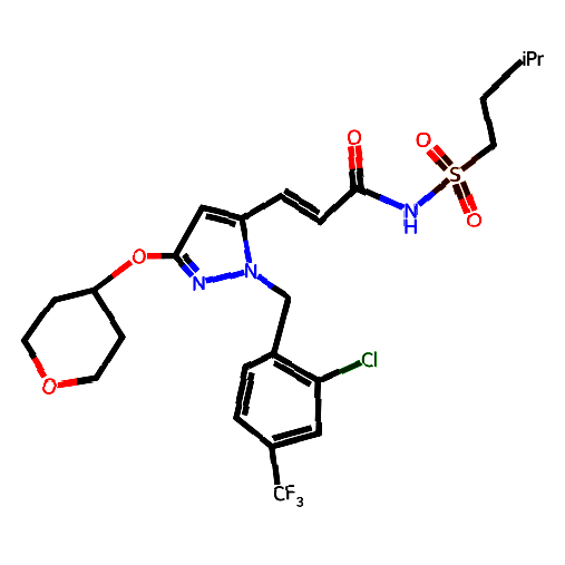 CC(C)CCS(=O)(=O)NC(=O)/C=C/c1cc(OC2CCOCC2)nn1Cc1ccc(C(F)(F)F)cc1Cl